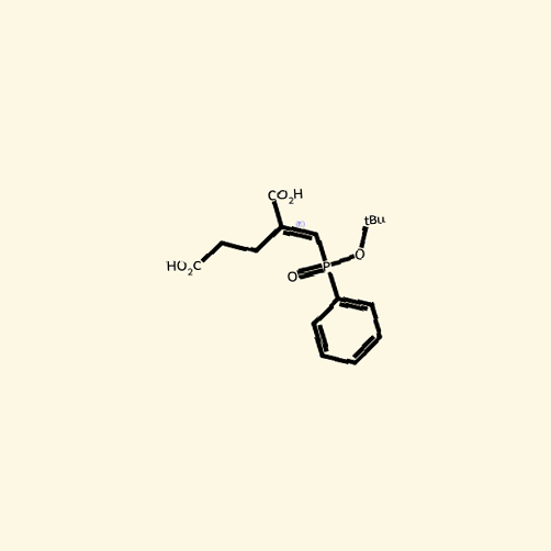 CC(C)(C)OP(=O)(/C=C(\CCC(=O)O)C(=O)O)c1ccccc1